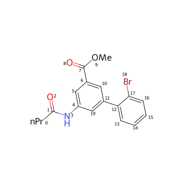 CCCC(=O)Nc1cc(C(=O)OC)cc(-c2ccccc2Br)c1